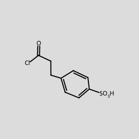 O=C(Cl)CCc1ccc(S(=O)(=O)O)cc1